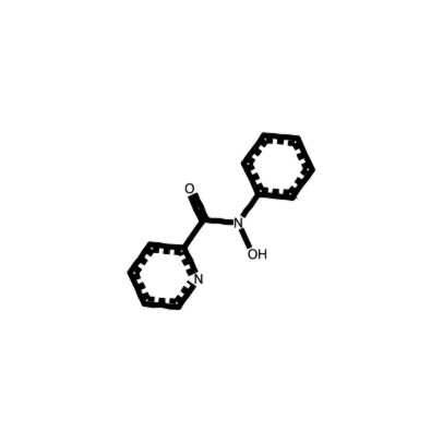 O=C(c1ccccn1)N(O)c1[c]cccc1